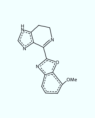 COc1cccc2nc(C3=NCCc4[nH]cnc43)oc12